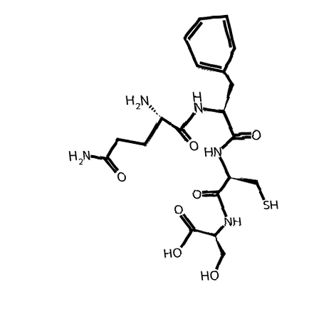 NC(=O)CC[C@H](N)C(=O)N[C@@H](Cc1ccccc1)C(=O)N[C@@H](CS)C(=O)N[C@@H](CO)C(=O)O